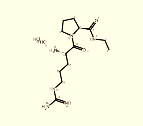 CCNC(=O)[C@@H]1CCCN1C(=O)[C@@H](N)CCCNC(=N)N.Cl.Cl